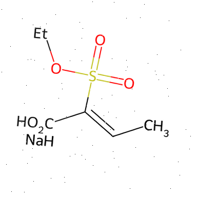 CC=C(C(=O)O)S(=O)(=O)OCC.[NaH]